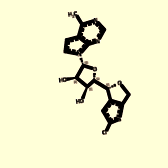 Cc1ncnc2c1ccn2[C@@H]1O[C@H]([C@@H]2OCc3sc(Cl)cc32)[C@@H](O)[C@H]1O